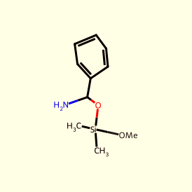 CO[Si](C)(C)OC(N)c1ccccc1